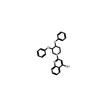 Oc1cc(N2CCC(Oc3ccccc3)C(Oc3ccccc3)C2)nc2ccccc12